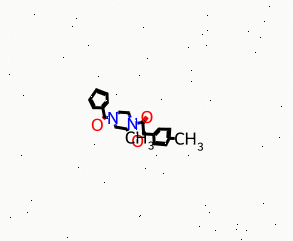 Cc1ccc(C(=O)C(=O)N2CCN(C(=O)c3ccccc3)CC2C)cc1